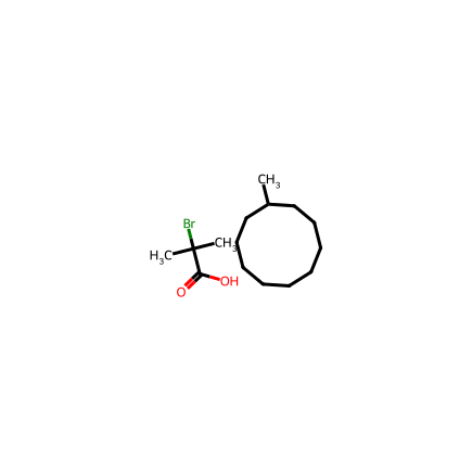 CC(C)(Br)C(=O)O.CC1CCCCCCCCC1